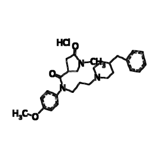 COc1ccc(N(CCCN2CCC(Cc3ccccc3)CC2)C(=O)C2CC(=O)N(C)C2)cc1.Cl